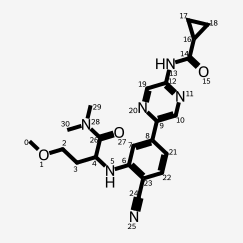 COCCC(Nc1cc(-c2cnc(NC(=O)C3CC3)cn2)ccc1C#N)C(=O)N(C)C